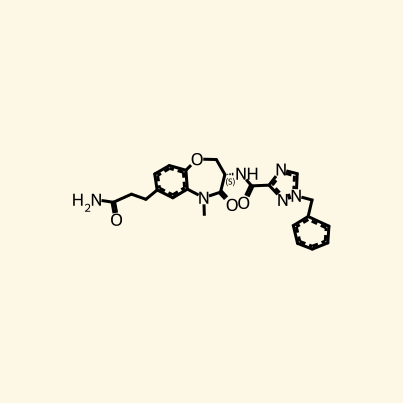 CN1C(=O)[C@@H](NC(=O)c2ncn(Cc3ccccc3)n2)COc2ccc(CCC(N)=O)cc21